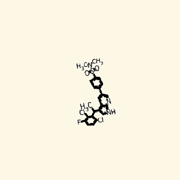 CC(c1c(Cl)ccc(F)c1Cl)c1c[nH]c2ncc(-c3ccc(S(=O)(=O)N(C)C)cc3)cc12